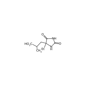 CCC1(CC(C)C(=O)O)NC(=O)NC1=O